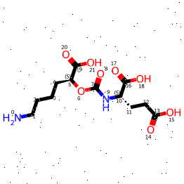 NCCCC[C@H](OC(=O)N[C@@H](CCC(=O)O)C(=O)O)C(=O)O